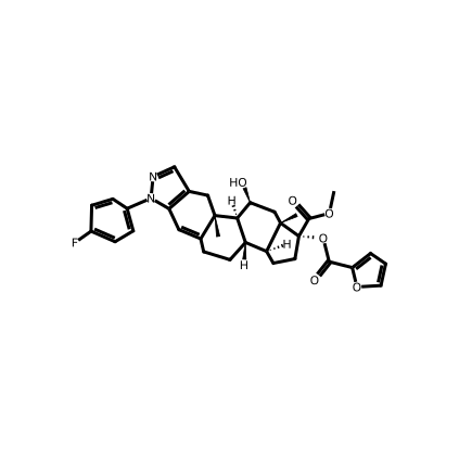 COC(=O)[C@@]1(OC(=O)c2ccco2)CC[C@H]2[C@@H]3CCC4=Cc5c(cnn5-c5ccc(F)cc5)C[C@]4(C)[C@H]3[C@@H](O)C[C@@]21C